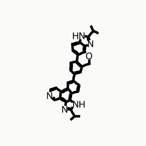 CC(C)c1nc2c3c(ccc2[nH]1)-c1ccc(-c2ccc4c(c2)c2ccncc2c2nc(C(C)C)[nH]c42)cc1CO3